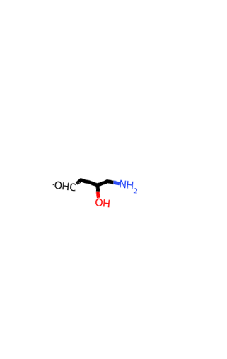 NCC(O)C[C]=O